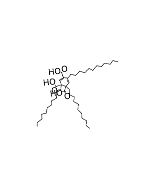 CCCCCCCCCCCCC1=CC(CCCCCCCCCCC)(C(=O)O)C(CCCCCCCCCCC)(C(=O)O)C=C1C(=O)O